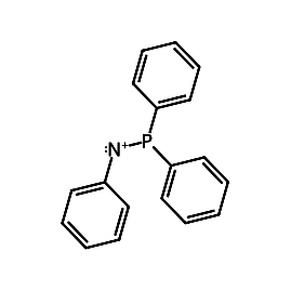 c1ccc([N+]P(c2ccccc2)c2ccccc2)cc1